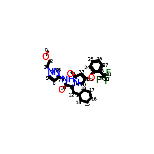 COCCn1ccc(NC(=O)C(CC2CCCCC2)N2CC(Oc3ccccc3C(F)(F)F)=CC2=O)n1